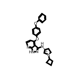 c1ccc(Oc2ccc(Oc3ccnc4[nH]nc(N[C@@H]5CCN(C6CCC6)C5)c34)cc2)cc1